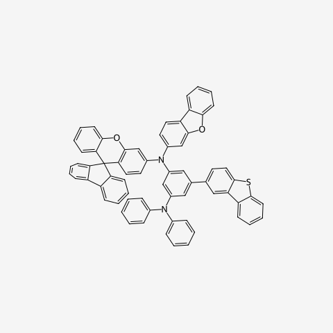 c1ccc(N(c2ccccc2)c2cc(-c3ccc4sc5ccccc5c4c3)cc(N(c3ccc4c(c3)Oc3ccccc3C43c4ccccc4-c4ccccc43)c3ccc4c(c3)oc3ccccc34)c2)cc1